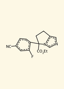 CCOC(=O)C1(c2ccc(C#N)cc2F)CCc2cncn21